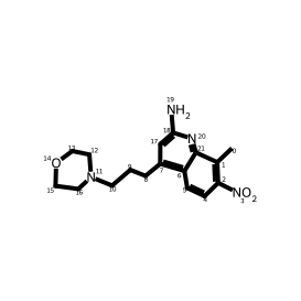 Cc1c([N+](=O)[O-])ccc2c(CCCN3CCOCC3)cc(N)nc12